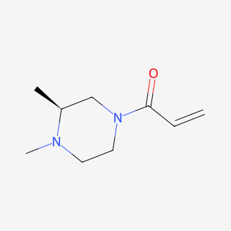 C=CC(=O)N1CCN(C)[C@@H](C)C1